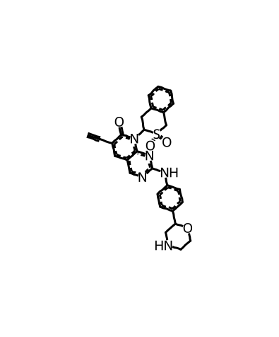 C#Cc1cc2cnc(Nc3ccc(C4CNCCO4)cc3)nc2n(C2Cc3ccccc3CS2(=O)=O)c1=O